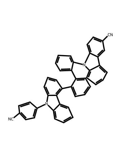 N#Cc1ccc(-n2c3ccccc3c3c(-c4ccccc4-c4ccccc4-n4c5ccccc5c5cc(C#N)ccc54)cccc32)cc1